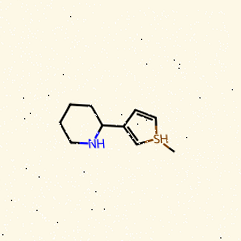 C[SH]1C=CC(C2CCCCN2)=C1